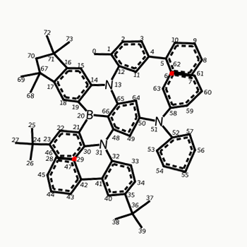 Cc1ccc(-c2ccccc2)cc1N1c2cc3c(cc2B2c4cc(C(C)(C)C)ccc4N(c4ccc(C(C)(C)C)cc4-c4ccccc4)c4cc(N(c5ccccc5)c5ccccc5)cc1c42)C(C)(C)CC3(C)C